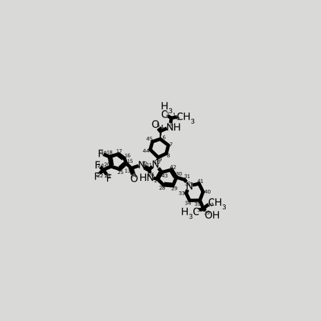 CC(C)NC(=O)[C@H]1CC[C@@H](n2/c(=N/C(=O)c3ccc(F)c(C(F)(F)F)c3)[nH]c3ccc(CN4CCC(C(C)(C)O)CC4)cc32)CC1